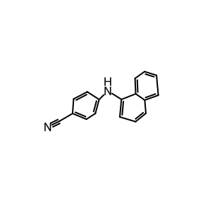 N#Cc1ccc(Nc2cccc3ccccc23)cc1